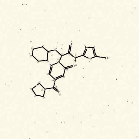 O=C(Nc1ncc(Cl)s1)C(CC1CCCCC1)n1ccc(C(=O)N2CCCC2)cc1=O